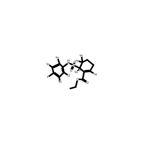 [2H]C1=C(C(=O)OCC)[C@]([2H])(S(=O)(=O)Nc2c([2H])c([2H])c(F)c([2H])c2Cl)C([2H])([2H])CC1